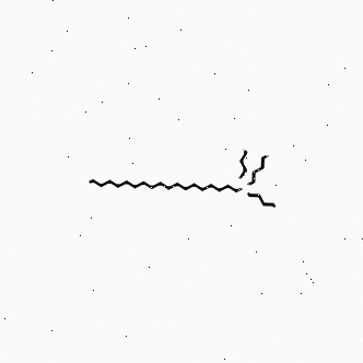 CCCCCCCCCCCCCCCCCCC[PH](CCCCC)(CCCCC)CCCCC